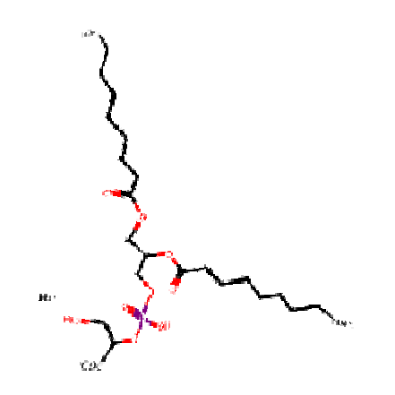 CCCCCCCCCCCCCCCCCC(=O)OC[C@H](COP(=O)(O)OC(CO)C(=O)[O-])OC(=O)CCCCCCCCCCCCCCCCC.[Na+]